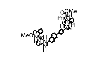 COC(=O)N[C@H](C(=O)N1[C@@H]2CC[C@@H](C2)[C@H]1c1ncc(-c2ccc(-c3ccc4cc(C5=CNC([C@@H]6CCCN6C(=O)[C@H](NC(=O)OC)c6ccccc6)N5)ccc4c3)cc2)[nH]1)C(C)C